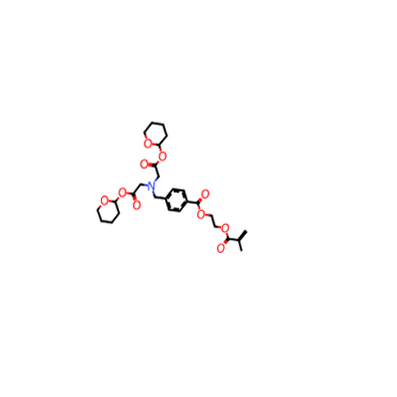 C=C(C)C(=O)OCCOC(=O)c1ccc(CN(CC(=O)OC2CCCCO2)CC(=O)OC2CCCCO2)cc1